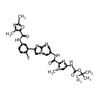 Cc1nc(C)c(C(=O)Nc2ccc(F)c(-c3cn4cc(NC(=O)c5nc(NC(=O)OC(C)(C)C)cn5C)cnc4n3)c2)o1